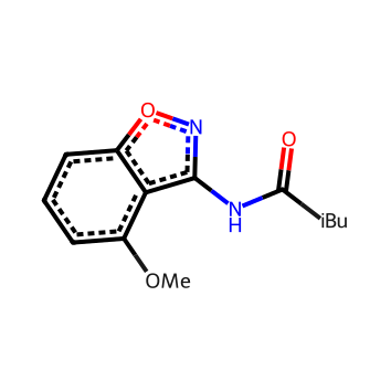 CCC(C)C(=O)Nc1noc2cccc(OC)c12